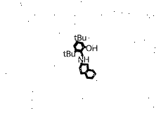 CC(C)(C)c1cc(O)c(CNC2CCC3CCCCC3C2)c(C(C)(C)C)c1